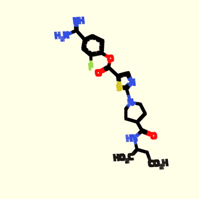 N=C(N)c1ccc(OC(=O)c2cnc(N3CCC(C(=O)NC(CC(=O)O)C(=O)O)CC3)s2)c(F)c1